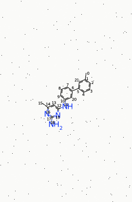 Cc1cccc(-c2cccc(Nc3cc(C)nc(N)n3)c2)c1